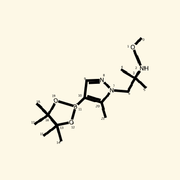 CONC(C)(C)Cn1ncc(B2OC(C)(C)C(C)(C)O2)c1C